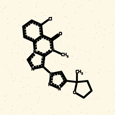 Cn1c(=O)c2c(Cl)cccc2n2cnc(-n3cc(C4(C)CCCO4)nn3)c12